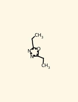 CCc1nnc(CC)o1